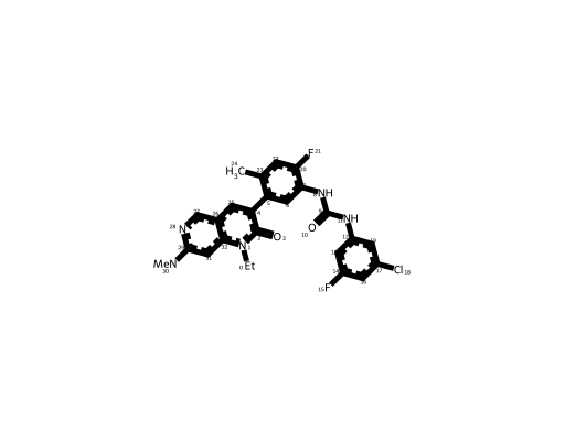 CCn1c(=O)c(-c2cc(NC(=O)Nc3cc(F)cc(Cl)c3)c(F)cc2C)cc2cnc(NC)cc21